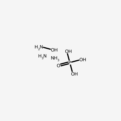 N.N.NO.O=P(O)(O)O